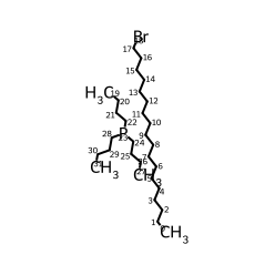 CCCCCCCCCCCCCCCCCCBr.CCCCP(CCCC)CCCC